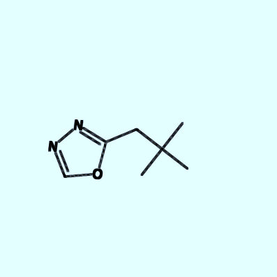 CC(C)(C)Cc1nnco1